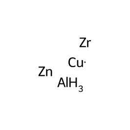 [AlH3].[Cu].[Zn].[Zr]